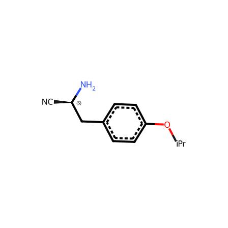 CC(C)Oc1ccc(C[C@H](N)C#N)cc1